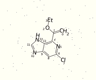 C=C(OCC)c1nc(Cl)cc2nc[nH]c12